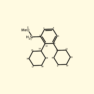 CO[SiH2]c1cccc(C2CCCCC2)c1C1CCCCC1